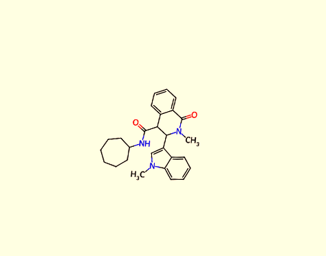 CN1C(=O)c2ccccc2C(C(=O)NC2CCCCCC2)C1c1cn(C)c2ccccc12